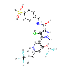 Cn1nc(C(=O)NCC2CCC(S(C)(=O)=O)CC2)c(Cl)c1-c1cnc(CC(C)(C)C(F)(F)F)cc1OC(F)F